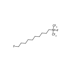 FCCCCCCCCCC[N+](F)(C(F)(F)F)C(F)(F)F